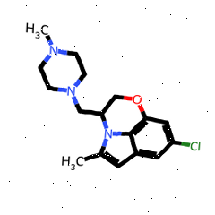 Cc1cc2cc(Cl)cc3c2n1C(CN1CCN(C)CC1)CO3